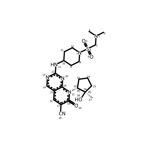 CN(C)CS(=O)(=O)N1CCC(Nc2ncc3cc(C#N)c(=O)n([C@@H]4CCC[C@@]4(C)O)c3n2)CC1